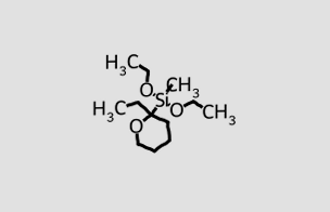 CCO[Si](C)(OCC)C1(CC)CCCCO1